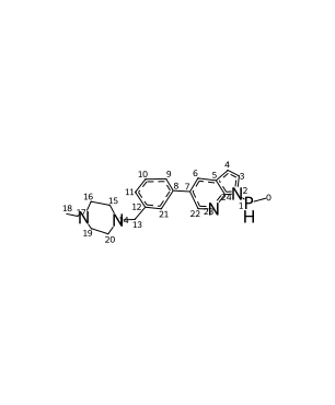 CPn1ccc2cc(-c3cccc(CN4CCN(C)CC4)c3)cnc21